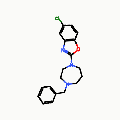 Clc1ccc2oc(N3CCCN(Cc4ccccc4)CC3)nc2c1